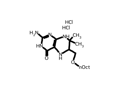 CCCCCCCCOCC1Nc2c(nc(N)[nH]c2=O)NC1(C)C.Cl.Cl